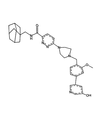 COc1cc(-c2cncc(O)c2)ccc1CN1CCN(c2ccc(C(=O)NCC34CC5CC(CC(C5)C3)C4)nn2)CC1